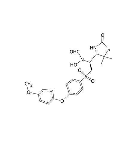 CC1(C)SC(=O)N[C@H]1[C@@H](CS(=O)(=O)c1ccc(Oc2ccc(OC(F)(F)F)cc2)cc1)N(O)C=O